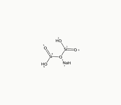 O=[Si](O)O[Si](=O)O.[NaH]